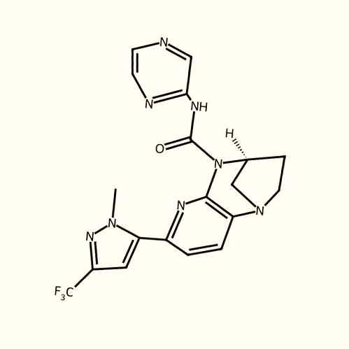 Cn1nc(C(F)(F)F)cc1-c1ccc2c(n1)N(C(=O)Nc1cnccn1)[C@H]1CCN2C1